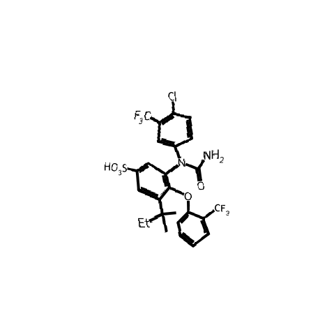 CCC(C)(C)c1cc(S(=O)(=O)O)cc(N(C(N)=O)c2ccc(Cl)c(C(F)(F)F)c2)c1Oc1ccccc1C(F)(F)F